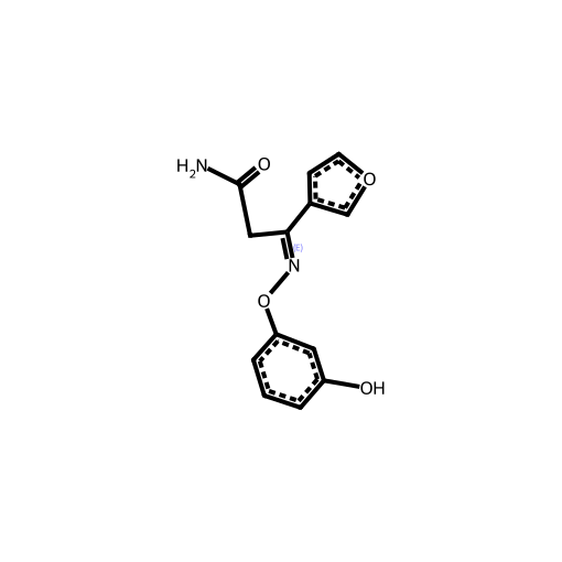 NC(=O)C/C(=N\Oc1cccc(O)c1)c1ccoc1